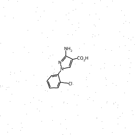 Nc1nn(-c2ccccc2Cl)cc1C(=O)O